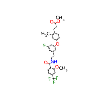 COC(=O)CCc1ccc(Oc2cc(F)cc(CCNC(=O)c3ccc(C(F)(F)F)cc3OC)c2)cc1C